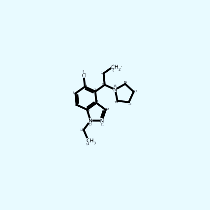 [CH2]CC(c1c(Cl)ccc2c1cnn2CC)N1CCCC1